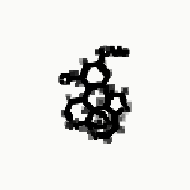 COc1cc(Cl)c(C2CC=NC34CCN=CC23C2=NC=NC2=CC=N4)c(Cl)c1